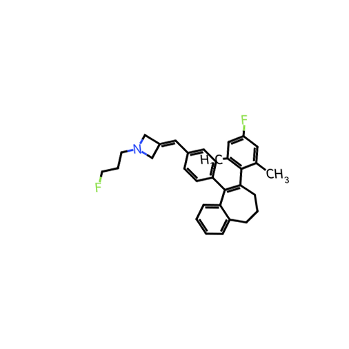 Cc1cc(F)cc(C)c1C1=C(c2ccc(C=C3CN(CCCF)C3)cc2)c2ccccc2CCC1